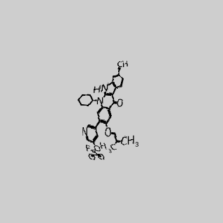 C#Cc1ccc2c(c1)[nH]c1c2c(=O)c2cc(OCC(C)C)c(-c3cncc(OS(=O)(=O)F)c3)cc2n1C1CCCCC1